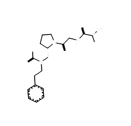 CN[C@@H](C)C(=O)NCC(=O)N1CCC[C@H]1CN(CCc1ccccc1)C(=O)C(F)(F)F